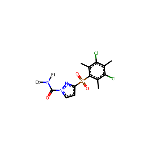 CCN(CC)C(=O)n1ccc(S(=O)(=O)c2c(C)c(Cl)c(C)c(Cl)c2C)n1